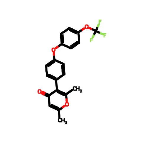 Cc1cc(=O)c(-c2ccc(Oc3ccc(OC(F)(F)F)cc3)cc2)c(C)o1